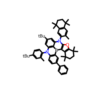 Cc1cc(C(C)(C)C)ccc1N1c2ccc(-c3ccccc3)cc2B2c3c1cc(C(C)(C)C)cc3N(c1cc3c(cc1C)C(C)(C)CCC3(C)C)c1oc3c(c12)C(C)(C)CCC3(C)C